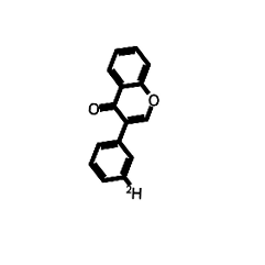 [2H]c1cccc(-c2coc3ccccc3c2=O)c1